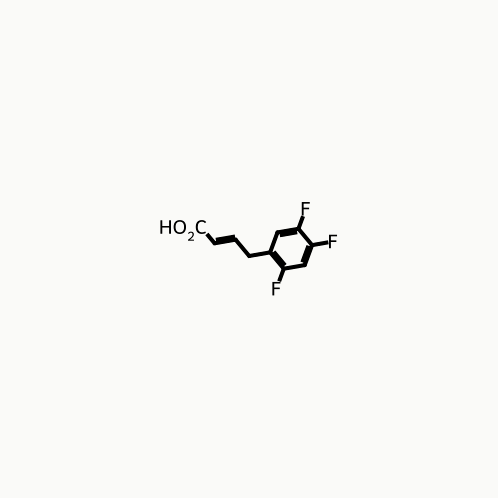 O=C(O)C=CCc1cc(F)c(F)cc1F